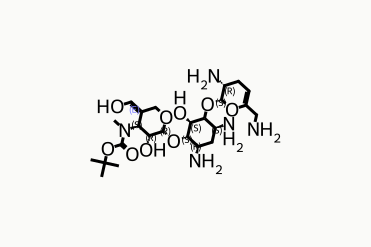 CN(C(=O)OC(C)(C)C)[C@H]1/C(=C\O)CO[C@H](O[C@H]2[C@H](N)C[C@H](N)C(O[C@H]3OC(CN)=CC[C@H]3N)[C@@H]2O)[C@@H]1O